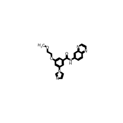 COCCOc1cc(C(=O)Nc2ccc3nccnc3c2)cc(-n2ccnc2)c1